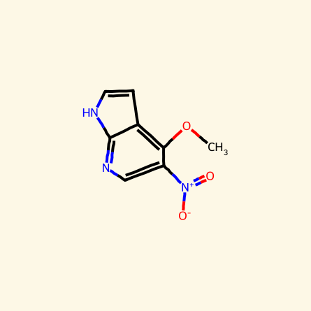 COc1c([N+](=O)[O-])cnc2[nH]ccc12